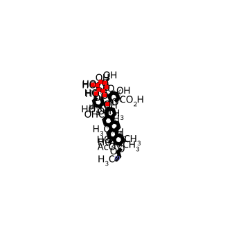 C/C=C\C(=O)O[C@H]1[C@H](OC(C)=O)[C@]2(CO)[C@H](O)C[C@]3(C)C(=CC[C@@H]4[C@@]5(C)CC[C@H](O[C@@H]6O[C@H](C(=O)O)[C@@H](O)[C@H](O[C@@H]7OC[C@H](O)[C@H](O)[C@H]7O[C@@H]7OC[C@@H](O)[C@H](O)[C@H]7O)[C@H]6O[C@@H]6O[C@H](CO)[C@H](O)[C@H](O)[C@H]6O)[C@@](C)(C=O)C5CC[C@]43C)[C@@H]2CC1(C)C